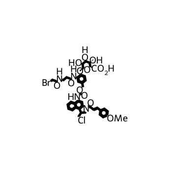 COc1ccc(/C=C/C(=O)N2CC(CCl)c3c2cc(NC(=O)OCc2ccc(O[C@@H]4O[C@H](C(=O)O)[C@@H](O)[C@H](O)[C@H]4O)c(NC(=O)CCNC(=O)CBr)c2)c2ccccc32)cc1